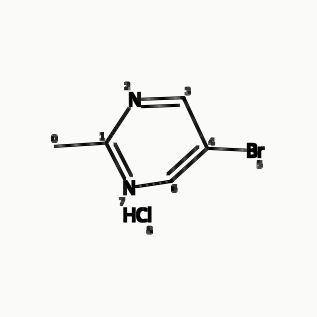 Cc1ncc(Br)cn1.Cl